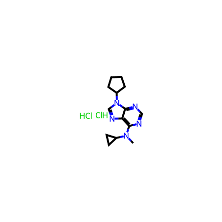 CN(c1ncnc2c1ncn2C1CCCC1)C1CC1.Cl.Cl